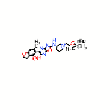 Cc1cc2c(c(O)c1-c1cnc3oc(N[C@@H]4CCCN(CCO[Si](C)(C)C(C)(C)C)C4)nc3n1)CCO2